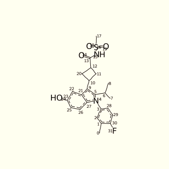 Cc1cc(-n2c(C(C)C)c(C3CC(C(=O)NS(C)(=O)=O)C3)c3cc(O)ccc32)ccc1F